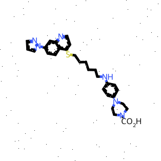 O=C(O)N1CCN(c2ccc(NCCCCCCSc3ccnc4cc(-n5cccn5)ccc34)cc2)CC1